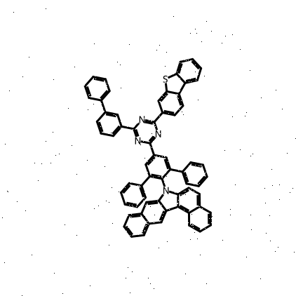 c1ccc(-c2cccc(-c3nc(-c4cc(-c5ccccc5)c(-n5c6cc7ccccc7cc6c6c7ccccc7ccc65)c(-c5ccccc5)c4)nc(-c4ccc5c(c4)sc4ccccc45)n3)c2)cc1